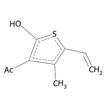 C=Cc1sc(O)c(C(C)=O)c1C